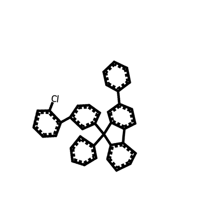 Clc1ccccc1-c1cccc(C2(c3ccccc3)c3ccccc3-c3ccc(-c4ccccc4)cc32)c1